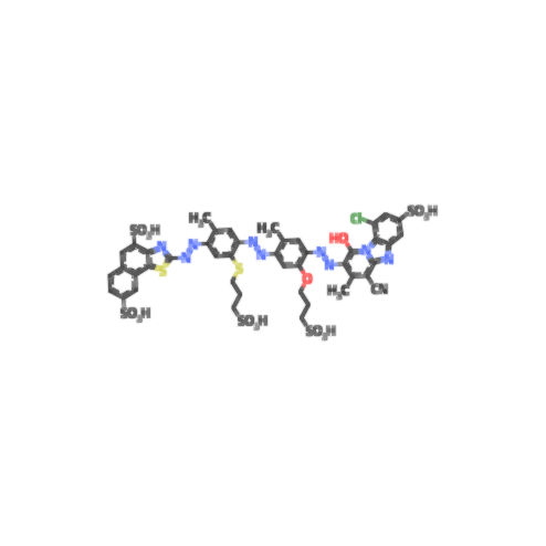 Cc1cc(N=Nc2cc(OCCCS(=O)(=O)O)c(N=Nc3c(C)c(C#N)c4nc5cc(S(=O)(=O)O)cc(Cl)c5n4c3O)cc2C)c(SCCCS(=O)(=O)O)cc1N=Nc1nc2c(S(=O)(=O)O)cc3ccc(S(=O)(=O)O)cc3c2s1